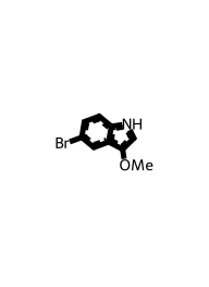 COc1c[nH]c2ccc(Br)cc12